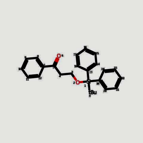 CC(C)(C)[Si](OCCC(=O)c1ccccc1)(c1ccccc1)c1ccccc1